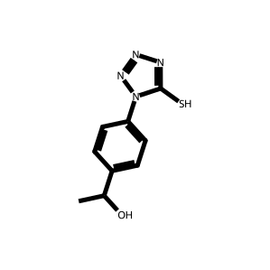 CC(O)c1ccc(-n2nnnc2S)cc1